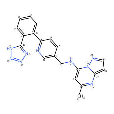 Cc1cc(NCc2ccc(-c3ccccc3-c3nnn[nH]3)nc2)n2nccc2n1